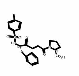 Cc1ccc(S(=O)(=O)N[C@@H](Cc2ccccc2)C(=O)CCC(=O)N2CCC[C@H]2C(=O)O)cc1